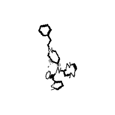 C[C@@H]1CN(CCc2ccccc2)CC[C@@H]1N(C(=O)c1cccs1)c1cnccn1